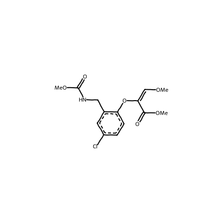 COC=C(Oc1ccc(Cl)cc1CNC(=O)OC)C(=O)OC